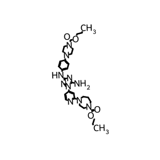 CCCOC(=O)N1CCN(c2ccc(Nc3nc(N)n(-c4ccnc(N5CCCN(C(=O)OCCC)CC5)c4)n3)cc2)CC1